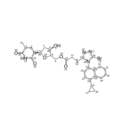 Cc1cn([C@H]2C[C@@H](O)C(COC(=O)CSc3nnc(Br)n3-c3ccc(C4CC4)c4ccccc34)O2)c(=O)[nH]c1=O